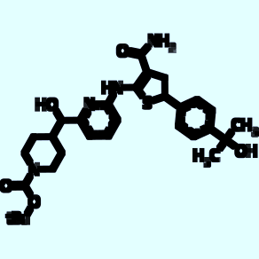 CC(C)(C)OC(=O)N1CCC(C(O)c2cccc(NC3=C(C(N)=O)CC(c4ccc(C(C)(C)O)cc4)S3)n2)CC1